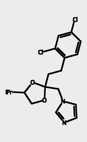 CC(C)C1COC(CCc2ccc(Cl)cc2Cl)(Cn2ccnc2)O1